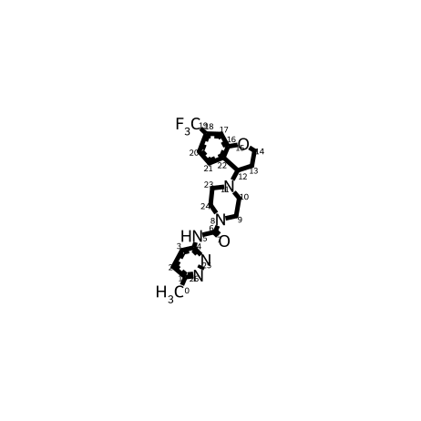 Cc1ccc(NC(=O)N2CCN(C3CCOc4cc(C(F)(F)F)ccc43)CC2)nn1